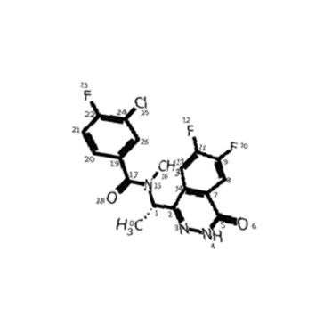 C[C@@H](c1n[nH]c(=O)c2cc(F)c(F)cc12)N(C)C(=O)c1ccc(F)c(Cl)c1